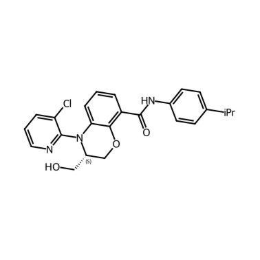 CC(C)c1ccc(NC(=O)c2cccc3c2OC[C@H](CO)N3c2ncccc2Cl)cc1